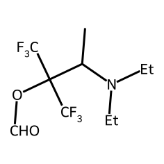 CCN(CC)C(C)C(OC=O)(C(F)(F)F)C(F)(F)F